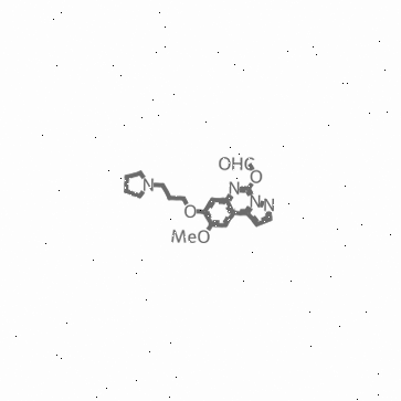 COc1cc2c(cc1OCCCN1CCCC1)nc(OC=O)n1nccc21